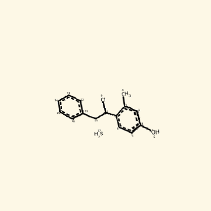 Cc1cc(O)ccc1C(Cl)Cc1ccccc1.S